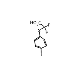 O=C(O)C(F)(F)Sc1ccc(I)cc1